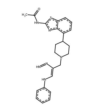 CC(=O)Nc1nc2c(C3CCN(C/C(=C/Nc4ccccc4)N=N)CC3)cccc2s1